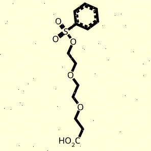 O=C(O)CCOCCOCCOS(=O)(=O)c1ccccc1